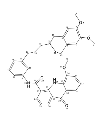 COc1cc2c(cc1OC)CN(CCCc1cccc(NC(=O)c3cccc4c(=O)c5cccc(OC)c5[nH]c34)c1)CC2